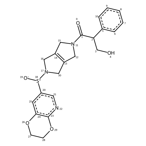 O=C(C(CO)c1ccccc1)N1CC2=C(C1)CN([S+]([O-])c1cnc3c(c1)OCCO3)C2